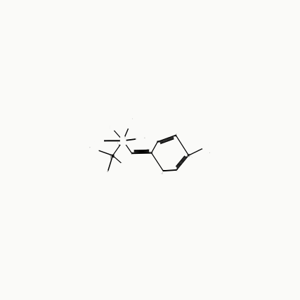 FC(F)(F)S(F)(F)(F)(F)C=C1C=CC(Cl)=CC1